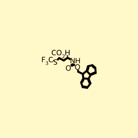 O=C(N[C@@H](CCSC(F)(F)F)C(=O)O)OCC1c2ccccc2-c2ccccc21